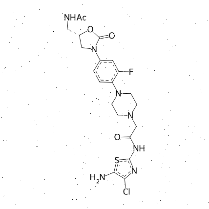 CC(=O)NC[C@H]1CN(c2ccc(N3CCN(CC(=O)Nc4nc(Cl)c(N)s4)CC3)c(F)c2)C(=O)O1